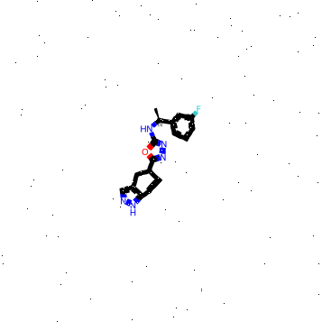 C[C@H](Nc1nnc(C2C=Cc3[nH]ncc3C2)o1)c1cccc(F)c1